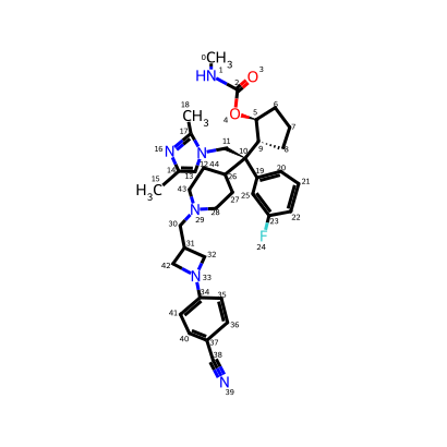 CNC(=O)O[C@H]1CCC[C@@H]1[C@](Cn1cc(C)nc1C)(c1cccc(F)c1)C1CCN(CC2CN(c3ccc(C#N)cc3)C2)CC1